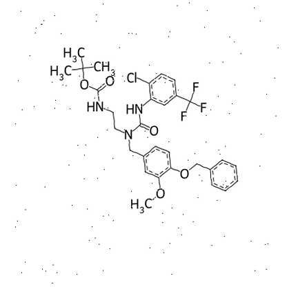 COc1cc(CN(CCNC(=O)OC(C)(C)C)C(=O)Nc2cc(C(F)(F)F)ccc2Cl)ccc1OCc1ccccc1